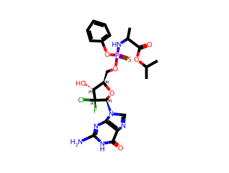 CC(C)OC(=O)C(C)NP(=S)(OC[C@H]1O[C@@H](n2cnc3c(=O)[nH]c(N)nc32)[C@](F)(Cl)[C@@H]1O)Oc1ccccc1